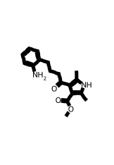 COC(=O)c1c(C)[nH]c(C)c1C(=O)CCCc1ccccc1N